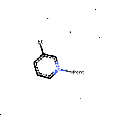 CCCCC[n+]1cccc(CC)c1